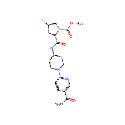 COC(=O)c1ccc(N2CCC(NC(=O)[C@@H]3C[C@@H](F)CN3C(=O)OC(C)(C)C)CC2)nc1